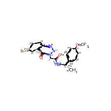 C[C@H](NC(=O)Cn1nnc2ccc(Br)cc2c1=O)c1ccc(OC(F)(F)F)cc1